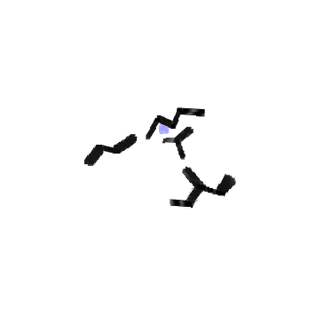 C=C(C)C.C=C/C=C/C.C=CC(=C)CC.C=CC=C